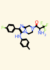 Cc1ccc(Nc2c(-c3ccc(F)cc3)nc3n2CCN(C(=O)C(N)C(F)(F)F)C3)cc1